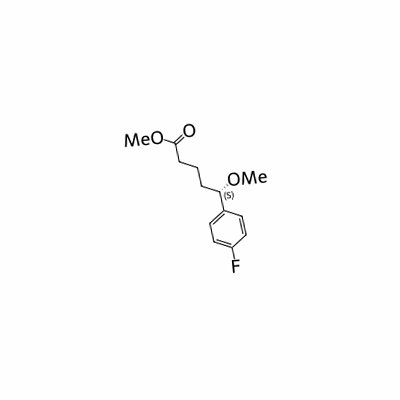 COC(=O)CCC[C@H](OC)c1ccc(F)cc1